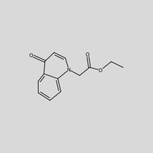 CCOC(=O)Cn1ccc(=O)c2ccccc21